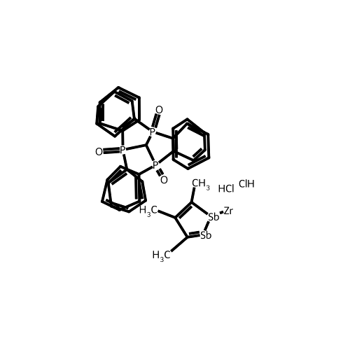 C[C]1=[Sb][Sb]([Zr])[C](C)=C1C.Cl.Cl.O=P(c1ccccc1)(c1ccccc1)C(P(=O)(c1ccccc1)c1ccccc1)P(=O)(c1ccccc1)c1ccccc1